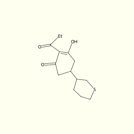 CCC(=O)C1=C(O)CC(C2CCCSC2)CC1=O